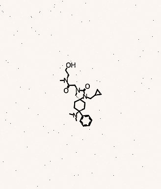 CN(CCO)C(=O)CN1C[C@]2(CC[C@](c3ccccc3)(N(C)C)CC2)N(CC2CC2)C1=O